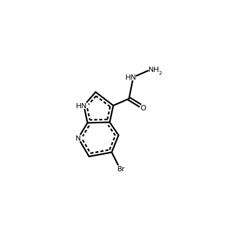 NNC(=O)c1c[nH]c2ncc(Br)cc12